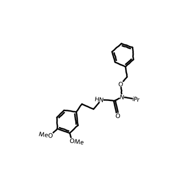 COc1ccc(CCNC(=O)N(OCc2ccccc2)C(C)C)cc1OC